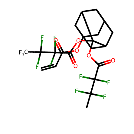 C=CC(=O)OC12CC3CC(C1)C(OC(=O)C(F)(F)C(C)(F)F)(OC(=O)C(F)(F)C(F)(F)C(F)(F)F)C(C3)C2